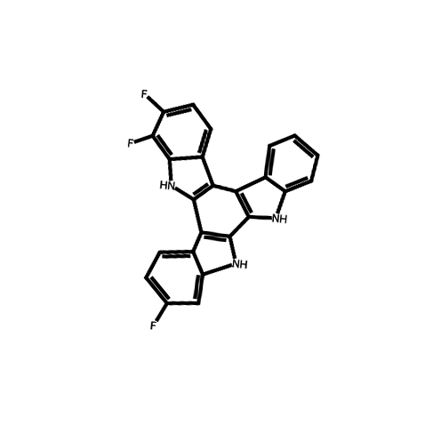 Fc1ccc2c(c1)[nH]c1c3[nH]c4ccccc4c3c3c4ccc(F)c(F)c4[nH]c3c21